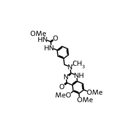 CONC(=O)Nc1cccc(CN(C)c2nc(=O)c3c(OC)c(OC)c(OC)cc3[nH]2)c1